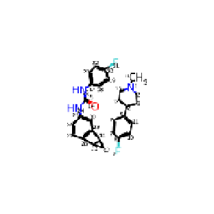 CN1CCC(c2ccc(F)cc2)CC1.O=C(Nc1ccc(F)cc1)Nc1ccc2c(c1)C1CC21